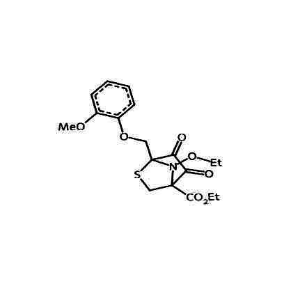 CCOC(=O)C12CSC(COc3ccccc3OC)(C(=O)C1=O)N2OCC